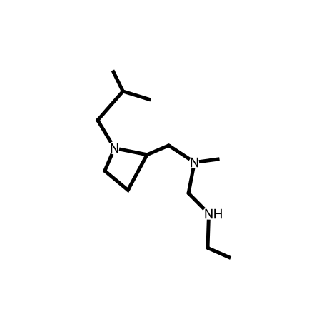 CCNCN(C)CC1CCN1CC(C)C